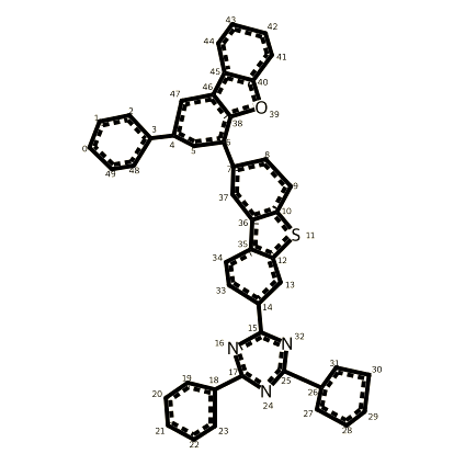 c1ccc(-c2cc(-c3ccc4sc5cc(-c6nc(-c7ccccc7)nc(-c7ccccc7)n6)ccc5c4c3)c3oc4ccccc4c3c2)cc1